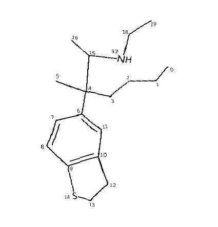 CCCCC(C)(c1ccc2c(c1)CCS2)C(C)NCC